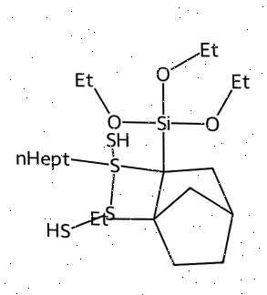 CCCCCCCS(S)(SS)C1([Si](OCC)(OCC)OCC)CC2CCC1(CC)C2